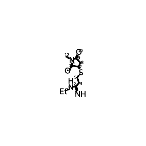 CCNC(=N)CCSC1CC(=O)N(C)C1=O